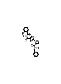 O=C(NCc1ccccc1)[C@H]1CCN1c1nc2c(=O)[nH]c(-c3ccccc3F)nc2s1